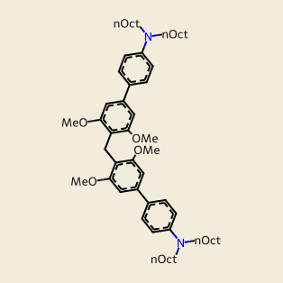 CCCCCCCCN(CCCCCCCC)c1ccc(-c2cc(OC)c(Cc3c(OC)cc(-c4ccc(N(CCCCCCCC)CCCCCCCC)cc4)cc3OC)c(OC)c2)cc1